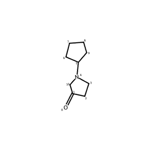 O=C1CCN(C2CCCC2)C1